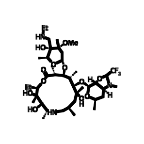 CCNC[C@]1(O)[C@H](C)O[C@@H](O[C@H]2[C@H](C)[C@@H](O[C@@H]3O[C@H](C)C[C@H]4[C@H]3OC(C(F)(F)F)N4C)[C@](C)(O)C[C@@H](C)CN[C@H](C)[C@@H](O)[C@](C)(O)[C@@H](CC)OC(=O)[C@@H]2C)C[C@@]1(C)OC